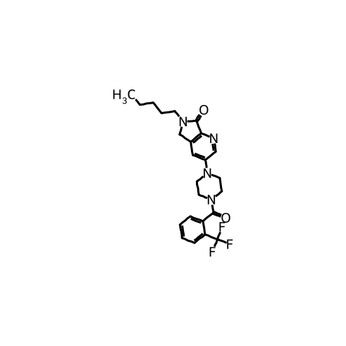 CCCCCN1Cc2cc(N3CCN(C(=O)c4ccccc4C(F)(F)F)CC3)cnc2C1=O